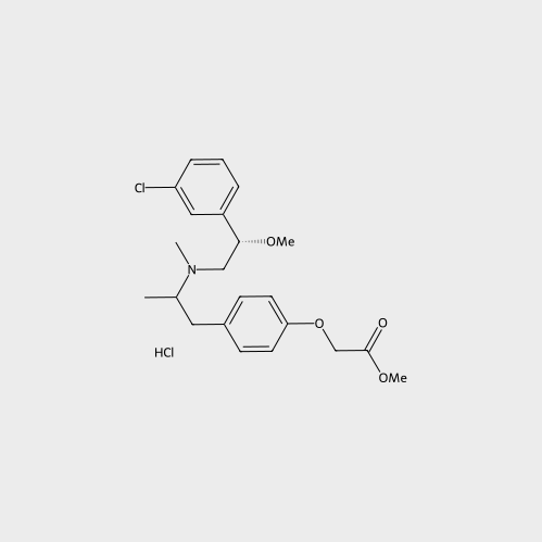 COC(=O)COc1ccc(CC(C)N(C)C[C@@H](OC)c2cccc(Cl)c2)cc1.Cl